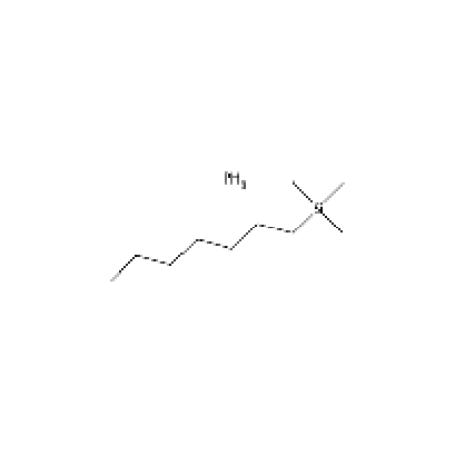 CCCCCCC[Si](C)(C)C.P